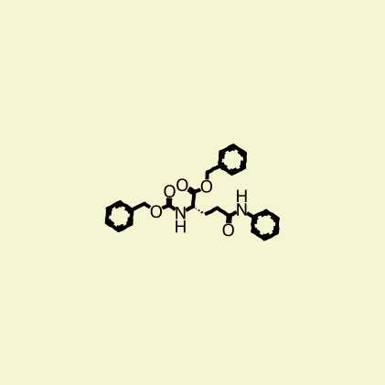 O=C(CC[C@H](NC(=O)OCc1ccccc1)C(=O)OCc1ccccc1)Nc1ccccc1